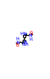 CC(=O)NCCc1c[nH]c2ccc(-c3cnc4[nH]cc(CCNC(C)=O)c4c3)cc12